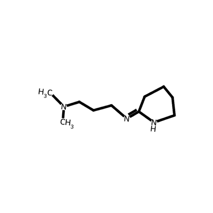 CN(C)CCCN=C1CCCCN1